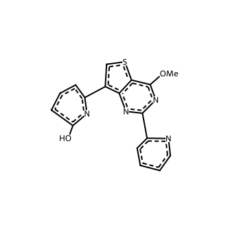 COc1nc(-c2ccccn2)nc2c(-c3cccc(O)n3)csc12